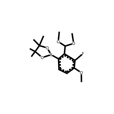 COc1ccc(B2OC(C)(C)C(C)(C)O2)c(C(OC)OC)c1F